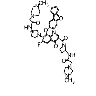 CN1CCN(CC(=O)NC2CCN(C(=O)c3cn4c5c(c(N6CC[C@@H](NC(=O)CN7CCN(C)CC7)C6)c(F)cc5c3=O)Oc3cc5c(cc3-4)oc3ccccc35)C2)CC1